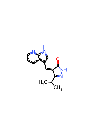 CC(C)C1=NNC(=O)C1=Cc1c[nH]c2ncccc12